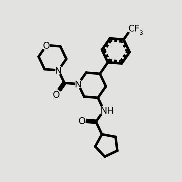 O=C(NC1CC(c2ccc(C(F)(F)F)cc2)CN(C(=O)N2CCOCC2)C1)C1CCCC1